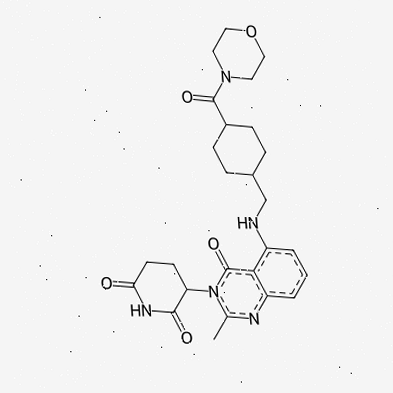 Cc1nc2cccc(NCC3CCC(C(=O)N4CCOCC4)CC3)c2c(=O)n1C1CCC(=O)NC1=O